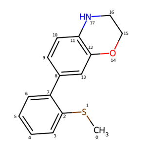 CSc1ccccc1-c1ccc2c(c1)OCCN2